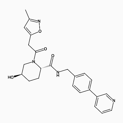 Cc1cc(CC(=O)N2C[C@H](O)CC[C@H]2C(=O)NCc2ccc(-c3cccnc3)cc2)on1